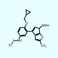 CCSNc1ccc(OCC2CC2)c(C2=CC(NC)c3sc(C)cc32)c1